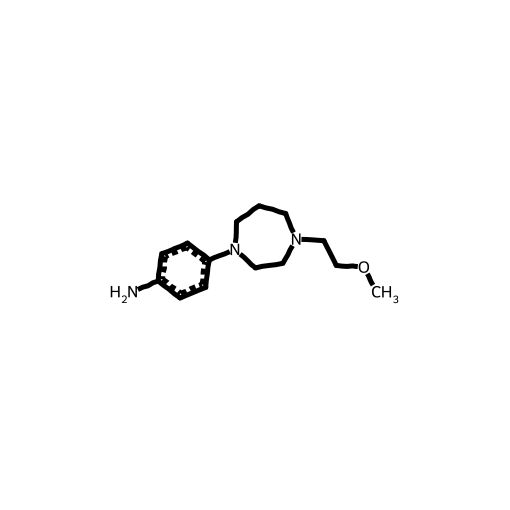 COCCN1CCCN(c2ccc(N)cc2)CC1